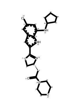 O=C(C[C@@H]1CSC(c2cc3cc(Cl)cc(NC4CCCC4)c3[nH]2)=N1)N1CCOCC1